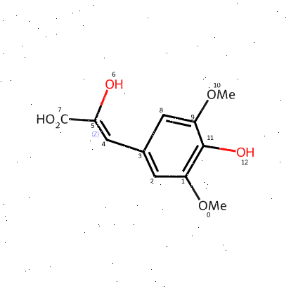 COc1cc(/C=C(\O)C(=O)O)cc(OC)c1O